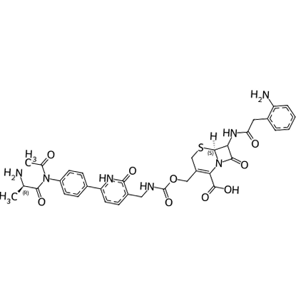 CC(=O)N(C(=O)[C@@H](C)N)c1ccc(-c2ccc(CNC(=O)OCC3=C(C(=O)O)N4C(=O)C(NC(=O)Cc5ccccc5N)[C@@H]4SC3)c(=O)[nH]2)cc1